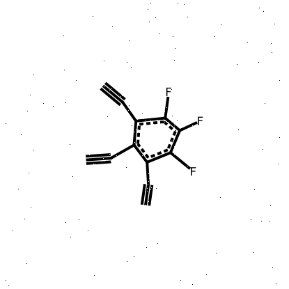 C#Cc1c(F)c(F)c(F)c(C#C)c1C#C